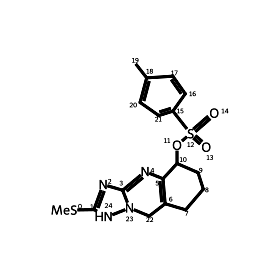 CSC1=NC2=NC3=C(CCCC3OS(=O)(=O)c3ccc(C)cc3)CN2N1